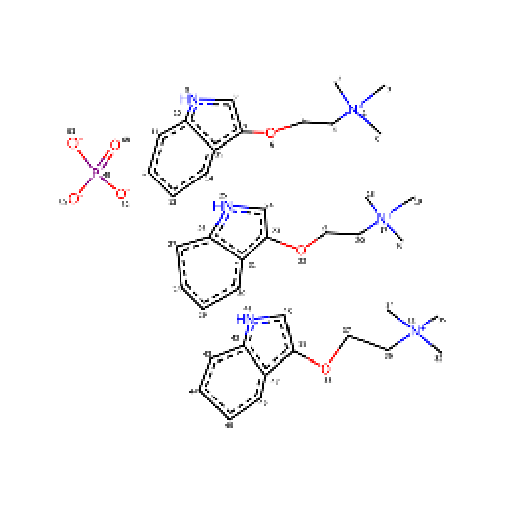 C[N+](C)(C)CCOc1c[nH]c2ccccc12.C[N+](C)(C)CCOc1c[nH]c2ccccc12.C[N+](C)(C)CCOc1c[nH]c2ccccc12.O=P([O-])([O-])[O-]